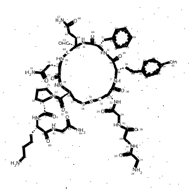 NCCCC[C@H](NC(=O)[C@@H]1CCCN1C(=O)[C@@H]1CSSC[C@@H](NC(=O)CNC(=O)CNC(=O)CN)C(=O)N[C@@H](CCc2ccc(O)cc2)C(=O)N[C@@H](Cc2ccccc2)C(=O)N[C@](C=O)(CCC(N)=O)CN[C@@H](CC(N)=O)C(=O)N1)C(=O)NCC(N)=O